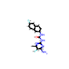 Cc1nc(NC(=O)Nc2ccc3cc(F)ccc3c2)nc(N)c1F